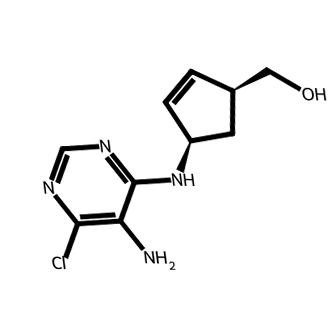 Nc1c(Cl)ncnc1N[C@H]1C=C[C@@H](CO)C1